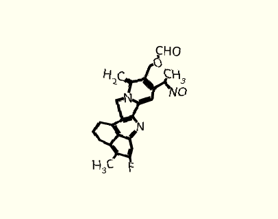 C=C1C(COC=O)=C(C(C)N=O)C=C2c3nc4cc(F)c(C)c5c4c(c3CN12)CCC5